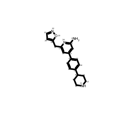 Nc1cc(-c2ccc(C3CCNCC3)cc2)cc(Cc2ccno2)n1